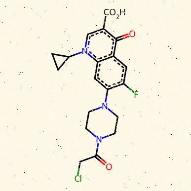 O=C(O)c1cn(C2CC2)c2cc(N3CCN(C(=O)CCl)CC3)c(F)cc2c1=O